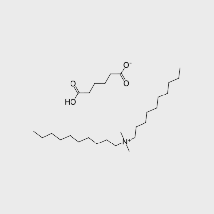 CCCCCCCCCC[N+](C)(C)CCCCCCCCCC.O=C([O-])CCCCC(=O)O